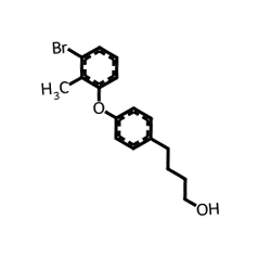 Cc1c(Br)cccc1Oc1ccc(CCCCO)cc1